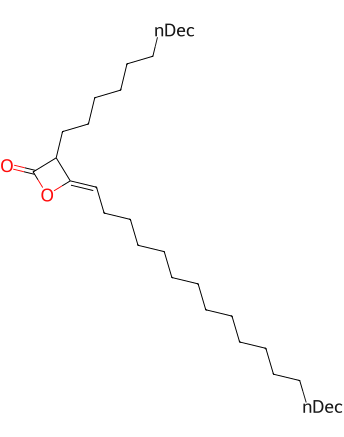 CCCCCCCCCCCCCCCCCCCCCCC=C1OC(=O)C1CCCCCCCCCCCCCCCC